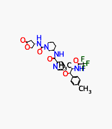 Cc1ccc([C@@H](Oc2ccc(C(=O)N[C@H]3CCCN(C(=O)N[C@@H]4COC(=O)C4)C3)nc2)[C@H](C)NC(=O)C(F)(F)F)cc1